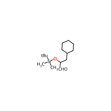 CC(C)(C)[Si](C)(C)OC(C=O)CC1CCCCC1